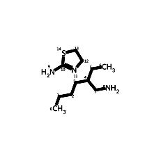 CCCCC(CC)CN.NC1=NCCS1